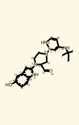 CC(C)(C)NC1=CN(N2CCN(c3cc4cc(O)ccc4[nH]3)C(C=O)C2)NC=C1